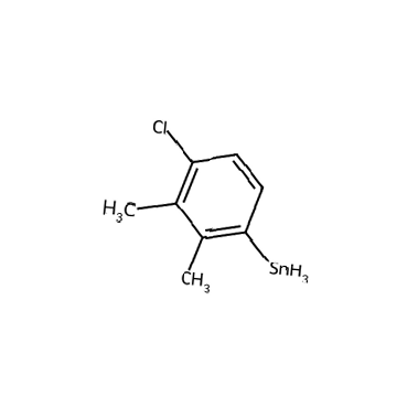 Cc1c(Cl)cc[c]([SnH3])c1C